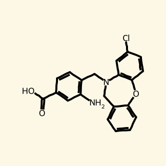 Nc1cc(C(=O)O)ccc1CN1Cc2ccccc2Oc2ccc(Cl)cc21